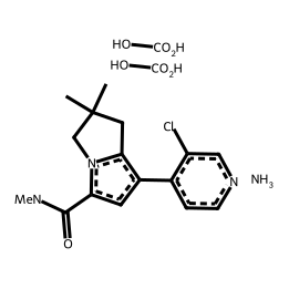 CNC(=O)c1cc(-c2ccncc2Cl)c2n1CC(C)(C)C2.N.O=C(O)O.O=C(O)O